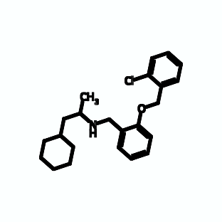 CC(CC1CCCCC1)NCc1ccccc1OCc1ccccc1Cl